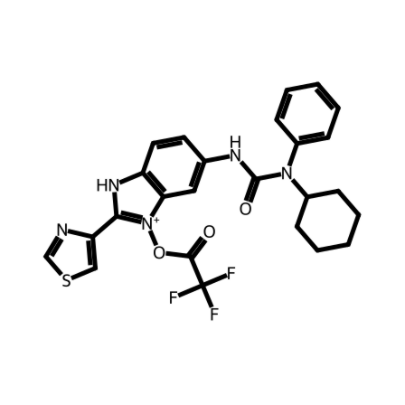 O=C(Nc1ccc2[nH]c(-c3cscn3)[n+](OC(=O)C(F)(F)F)c2c1)N(c1ccccc1)C1CCCCC1